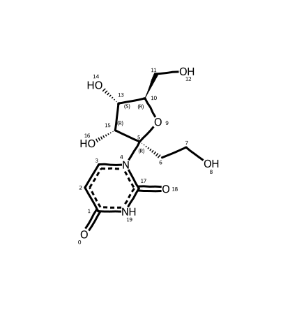 O=c1ccn([C@]2(CCO)O[C@H](CO)[C@@H](O)[C@H]2O)c(=O)[nH]1